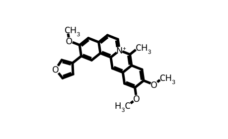 COc1cc2cc3c4cc(-c5ccoc5)c(OC)cc4cc[n+]3c(C)c2cc1OC